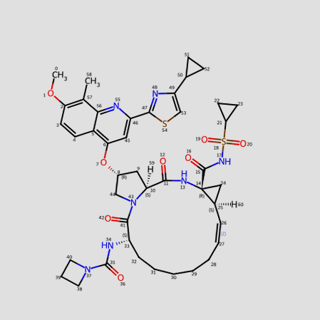 COc1ccc2c(O[C@@H]3C[C@H]4C(=O)N[C@]5(C(=O)NS(=O)(=O)C6CC6)C[C@H]5/C=C\CCCCC[C@H](NC(=O)N5CCC5)C(=O)N4C3)cc(-c3nc(C4CC4)cs3)nc2c1C